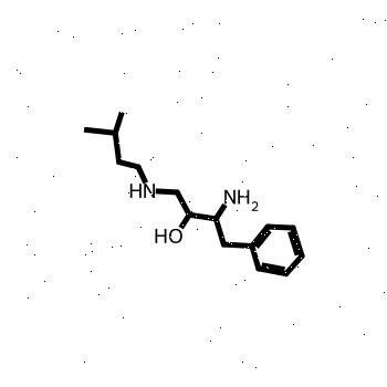 CC(C)CCNCC(O)C(N)Cc1ccccc1